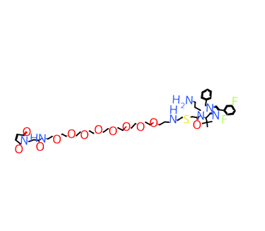 CC(C)(C)C(c1nc(-c2cc(F)ccc2F)cn1Cc1ccccc1)N(CCCN)C(=O)CSCCNCCCOCCOCCOCCOCCOCCOCCOCCOCCNC(=O)CCN1C(=O)C=CC1=O